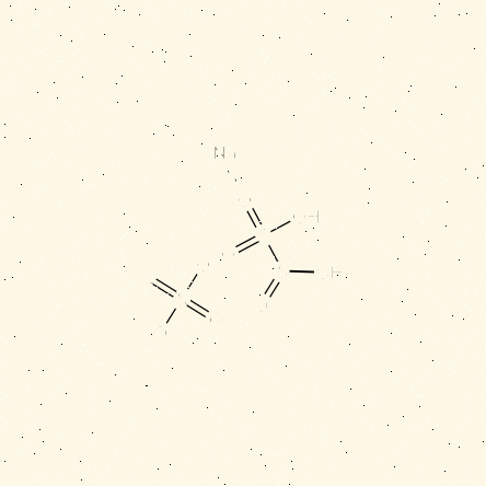 O=S(O)S(=O)(=O)O.O=S([O-])([O-])=S.[Na+].[Na+]